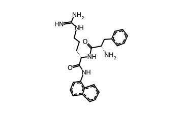 N=C(N)NCCC[C@H](NC(=O)[C@@H](N)Cc1ccccc1)C(=O)Nc1cccc2ccccc12